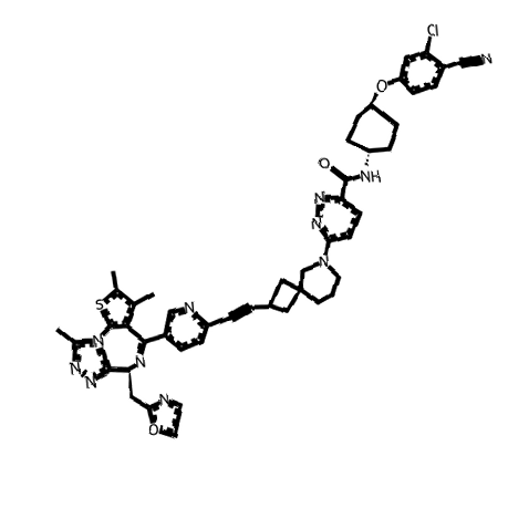 Cc1sc2c(c1C)C(c1ccc(C#CC3CC4(CCCN(c5ccc(C(=O)N[C@H]6CC[C@H](Oc7ccc(C#N)c(Cl)c7)CC6)nn5)C4)C3)nc1)=N[C@@H](Cc1ncco1)c1nnc(C)n1-2